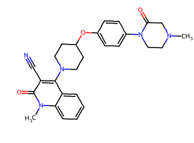 CN1CCN(c2ccc(OC3CCN(c4c(C#N)c(=O)n(C)c5ccccc45)CC3)cc2)C(=O)C1